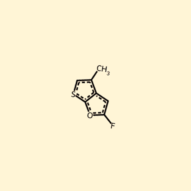 Cc1csc2oc(F)cc12